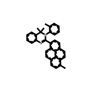 Cc1ccccc1N1C(c2ccc3ccc4c(C)ccc5ccc2c3c54)=Nc2ccccc2C1(C)C